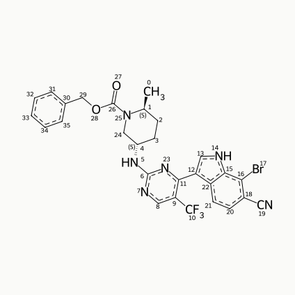 C[C@H]1CC[C@H](Nc2ncc(C(F)(F)F)c(-c3c[nH]c4c(Br)c(C#N)ccc34)n2)CN1C(=O)OCc1ccccc1